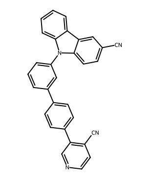 N#Cc1ccc2c(c1)c1ccccc1n2-c1cccc(-c2ccc(-c3cnccc3C#N)cc2)c1